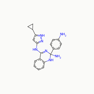 Nc1ccc(C2(N)N=C(Nc3cc(C4CC4)[nH]n3)c3ccccc3N2)cc1